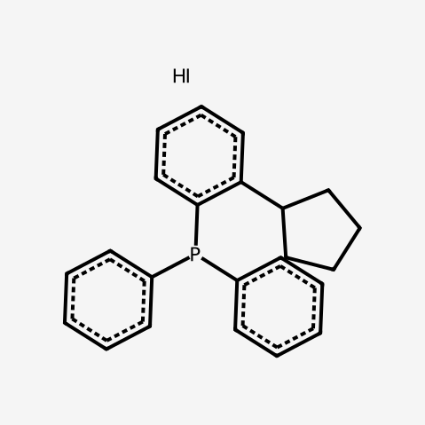 I.c1ccc(P(c2ccccc2)c2ccccc2C2CCCC2)cc1